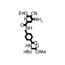 CCCC[C@H](NC(=O)C1CCC(CNC(=O)c2cc(N)c(C#N)c(OCC)n2)CC1)C(=O)OC